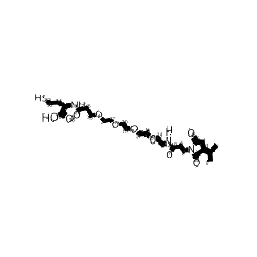 CC(C)C1CC(=O)N(CCC(=O)NCCOCCOCCOCCOCCC(=O)NC(CCS)C(=O)O)C1=O